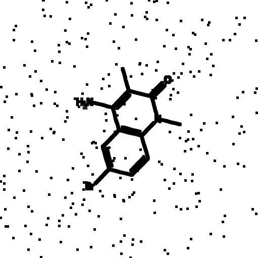 Cc1c(N)c2cc(Br)ccc2n(C)c1=O